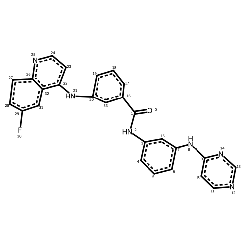 O=C(Nc1cccc(Nc2ccncn2)c1)c1cccc(Nc2ccnc3ccc(F)cc23)c1